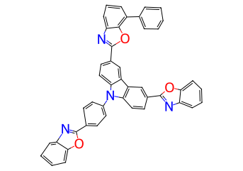 c1ccc(-c2cccc3nc(-c4ccc5c(c4)c4cc(-c6nc7ccccc7o6)ccc4n5-c4ccc(-c5nc6ccccc6o5)cc4)oc23)cc1